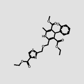 CCOC(=O)C1=C(COCc2nc(C(=O)OCC)cs2)NC(C)=C(C(=O)OC)C1c1ccccc1Cl